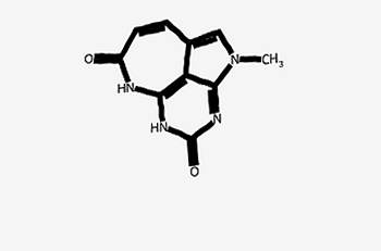 Cn1cc2c3c([nH]c(=O)nc31)NC(=O)C=C2